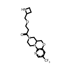 O=C(CCOCC1CCN1)N1CCN2c3ncc(C(F)(F)F)cc3OCC2C1